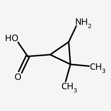 CC1(C)C(N)C1C(=O)O